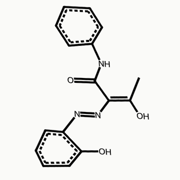 C/C(O)=C(/N=Nc1ccccc1O)C(=O)Nc1ccccc1